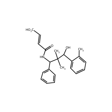 Cc1ccccc1C(O)C(C)(C)C(NC(=O)C=CC(=O)O)c1ccccc1